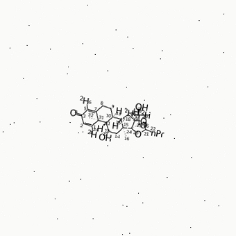 [2H]C1=CC(=O)C([2H])=C2CC[C@@H]3[C@H]([C@@H](O)C[C@@]4(C)[C@H]3C[C@H]3OC(CCC)O[C@]34C(=O)C([2H])([2H])O)[C@@]12C